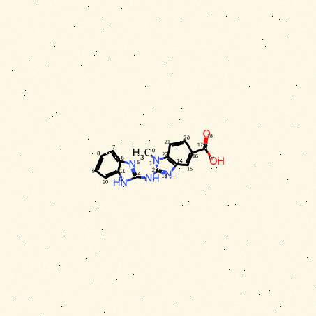 Cn1c(Nc2nc3ccccc3[nH]2)nc2cc(C(=O)O)ccc21